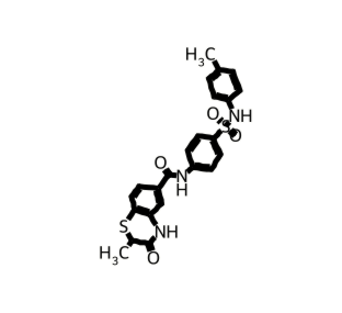 Cc1ccc(NS(=O)(=O)c2ccc(NC(=O)c3ccc4c(c3)NC(=O)C(C)S4)cc2)cc1